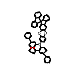 c1ccc(-c2cccc(N(c3ccc4c(c3)Oc3cc5c(cc3O4)-c3ccccc3C53c4ccccc4-c4ccccc43)c3ccc(-c4ccccc4)cc3-c3ccccc3)c2)cc1